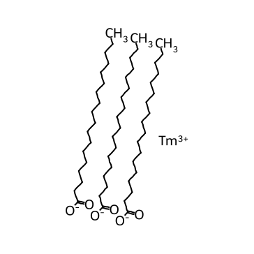 CCCCCCCCCCCCCCCCCC(=O)[O-].CCCCCCCCCCCCCCCCCC(=O)[O-].CCCCCCCCCCCCCCCCCC(=O)[O-].[Tm+3]